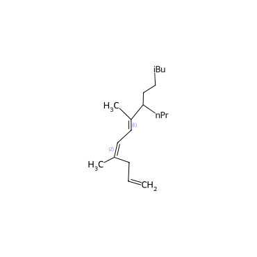 C=CC/C(C)=C\C=C(/C)C(CCC)CCC(C)CC